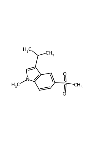 CC(C)c1cn(C)c2ccc(S(C)(=O)=O)cc12